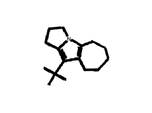 CC(C)(C)c1c2c(n3c1CCC3)CCCCC2